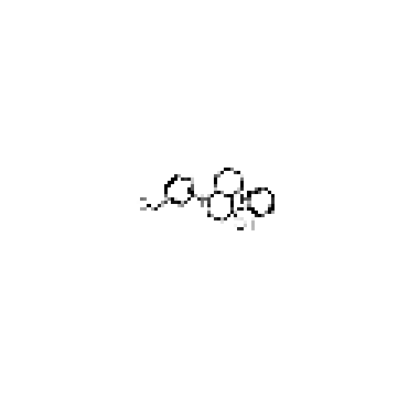 CCc1ccnc(N2CC[C@@](O)(c3ccccc3)[C@@H]3CCCCC32)c1